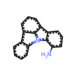 Nc1cccc2c3cccc4c5ccccc5n(c12)c43